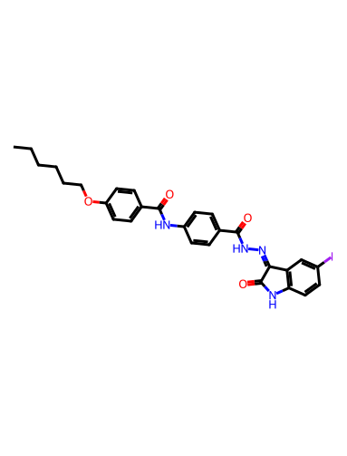 CCCCCCOc1ccc(C(=O)Nc2ccc(C(=O)N/N=C3\C(=O)Nc4ccc(I)cc43)cc2)cc1